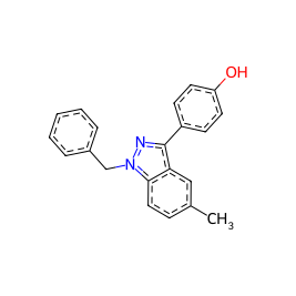 Cc1ccc2c(c1)c(-c1ccc(O)cc1)nn2Cc1ccccc1